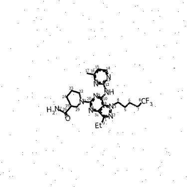 CCc1nn(CCCCC(F)(F)F)c2c(Nc3nccc(C)n3)nc(N3CCCC(C(N)=O)C3)nc12